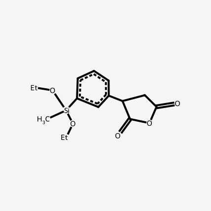 CCO[Si](C)(OCC)c1cccc(C2CC(=O)OC2=O)c1